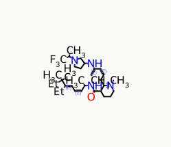 C/C=C(\C=C/CC1C(C(=O)NC(C)/C=C\C=C(/CC)C(C)(C)CC)CCCN1C)NC1CCN(C(C)C(F)(F)F)C1